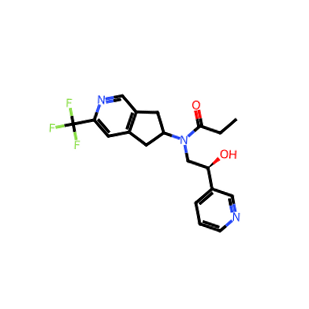 CCC(=O)N(C[C@@H](O)c1cccnc1)C1Cc2cnc(C(F)(F)F)cc2C1